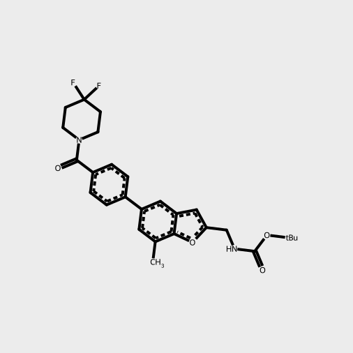 Cc1cc(-c2ccc(C(=O)N3CCC(F)(F)CC3)cc2)cc2cc(CNC(=O)OC(C)(C)C)oc12